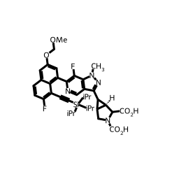 COCOc1cc(-c2ncc3c(C4C5CN(C(=O)O)C(C(=O)O)[C@@H]54)nn(C)c3c2F)c2c(C#C[Si](C(C)C)(C(C)C)C(C)C)c(F)ccc2c1